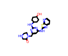 O=C1CNCCN1Cc1cc(Nc2nc3cccnc3s2)nc(NC2CCC(O)CC2)n1